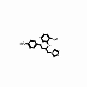 COc1ccc(CCC(Cn2ccnc2)Oc2ccccc2OC)cc1